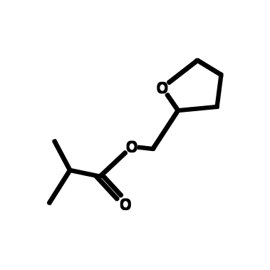 CC(C)C(=O)OCC1CCCO1